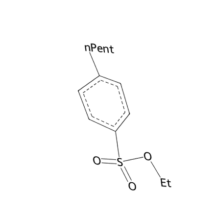 CCCCCc1ccc(S(=O)(=O)OCC)cc1